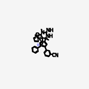 CN1C(=N)N[C@](C)(c2cc(-c3cccc(C#N)c3)cs2)C(C/C=C/c2ccccc2)(n2cccn2)C1=O